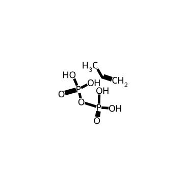 C=CC.O=P(O)(O)OP(=O)(O)O